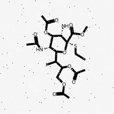 CCS[C@]1(C(=O)OC)OC(C(I)C(COC(C)=O)OC(C)=O)[C@H](NC(C)=O)C(OC(C)=O)[C@@H]1N